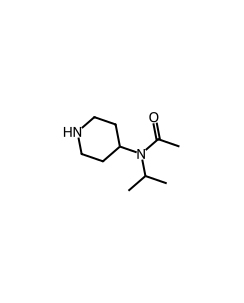 CC(=O)N(C(C)C)C1CCNCC1